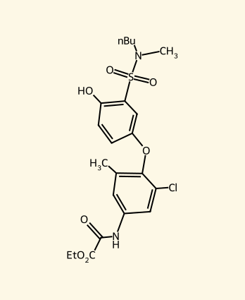 CCCCN(C)S(=O)(=O)c1cc(Oc2c(C)cc(NC(=O)C(=O)OCC)cc2Cl)ccc1O